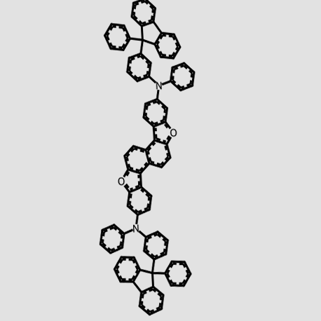 c1ccc(N(c2cccc(C3(c4ccccc4)c4ccccc4-c4ccccc43)c2)c2ccc3c(c2)oc2ccc4c(ccc5oc6cc(N(c7ccccc7)c7cccc(C8(c9ccccc9)c9ccccc9-c9ccccc98)c7)ccc6c54)c23)cc1